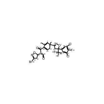 CC1=CC(C)(C2=NOC(c3cc(Cl)c(F)c(Cl)c3)(C(F)(F)F)C2)CC=C1C(=O)N(C=O)C1CC(Br)=NO1